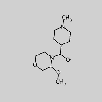 COC1COCCN1C([O])C1CCN(C)CC1